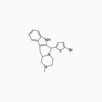 CN1CCN2C(Cc3c([nH]c4ccccc34)C2c2ccc(Br)s2)C1